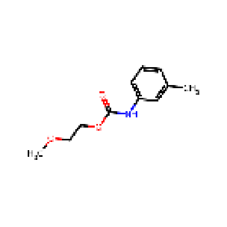 COCCOC(=O)Nc1cc[c]c(C)c1